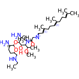 CCNCC1CC[C@H](N)C(OC(C(C)N)C(O)C(C(C)OC)N(C)C(=O)C/N=C/C=C(\C)CC/C=C(\C)CCC=C(C)C)O1